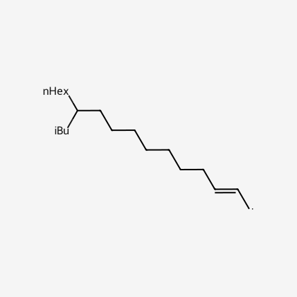 [CH2]C=CCCCCCCCC(CCCCC[CH2])C(C)CC